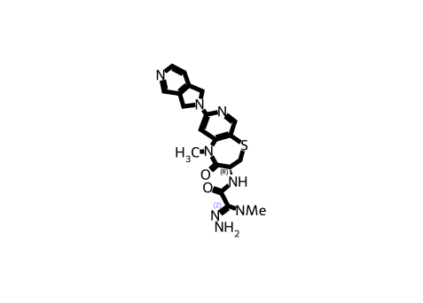 CN/C(=N\N)C(=O)N[C@H]1CSc2cnc(N3Cc4ccncc4C3)cc2N(C)C1=O